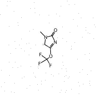 CN1[C]C(OC(F)(F)F)=NC1=O